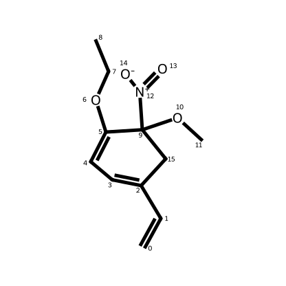 C=CC1=CC=C(OCC)C(OC)([N+](=O)[O-])C1